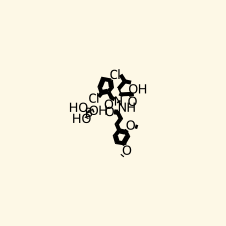 COc1ccc(CCC(=O)NN(C(=O)c2cc(Cl)ccc2Cl)[C@@H](CC(C)C)C(=O)O)c(OC)c1.OB(O)O